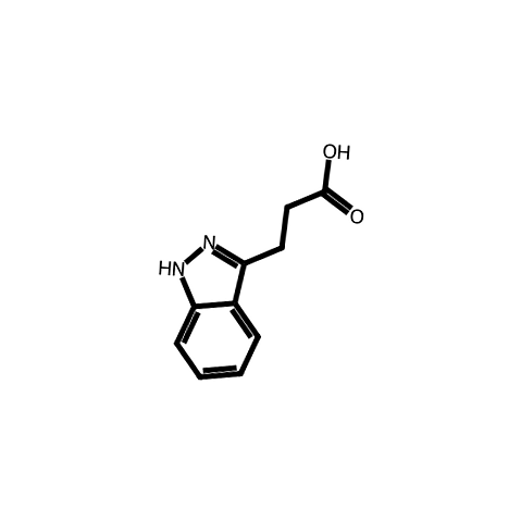 O=C(O)CCc1n[nH]c2ccccc12